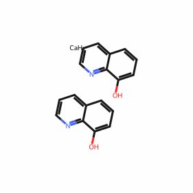 Oc1cccc2cccnc12.Oc1cccc2cccnc12.[CaH2]